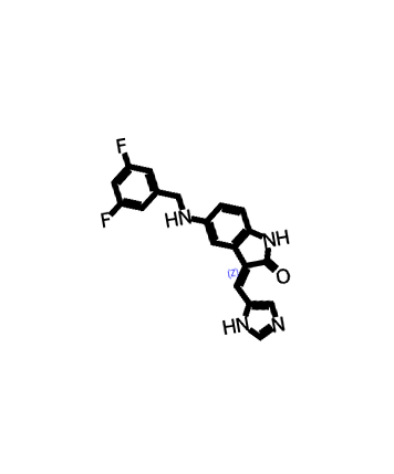 O=C1Nc2ccc(NCc3cc(F)cc(F)c3)cc2/C1=C/c1cnc[nH]1